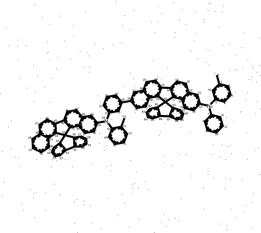 Cc1cccc(N(c2ccccc2)c2ccc3c4c(ccc3c2)-c2ccc3cc(-c5cccc(N(c6ccc7c8c(ccc7c6)-c6ccc7ccccc7c6C86c7ccccc7-c7ccccc76)c6ccccc6C)c5)ccc3c2C42c3ccccc3-c3ccccc32)c1